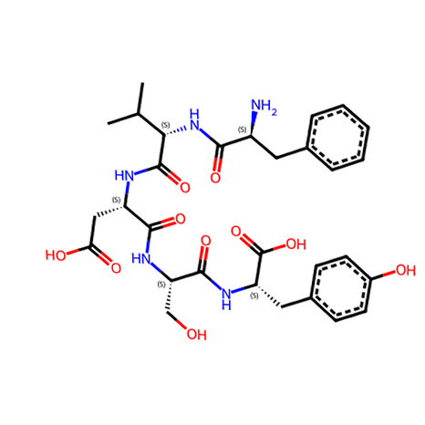 CC(C)[C@H](NC(=O)[C@@H](N)Cc1ccccc1)C(=O)N[C@@H](CC(=O)O)C(=O)N[C@@H](CO)C(=O)N[C@@H](Cc1ccc(O)cc1)C(=O)O